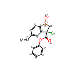 COc1ccc2c(c1)C(Cl)(C(=O)Oc1ccccc1)C[S+]2[O-]